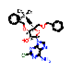 CC[Si](C#C[C@]1(COCc2ccccc2)O[C@@H](n2cnc3c(N)nc(Cl)nc32)[C@H](O)[C@@H]1OCc1ccccc1)(CC)CC